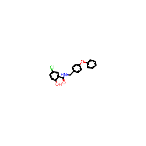 O=C(NCc1ccc(Oc2ccccc2)cc1)c1cc(Cl)ccc1O